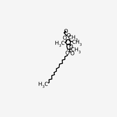 CCCCCCCCCCCCCCCCOC(=O)C1(C)CCc2c(C)c(OC(=O)C=O)c(C)c(C)c2O1